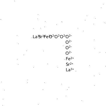 [Fe+2].[Fe+2].[La+3].[La+3].[O-2].[O-2].[O-2].[O-2].[O-2].[O-2].[O-2].[Sr+2].[Sr+2]